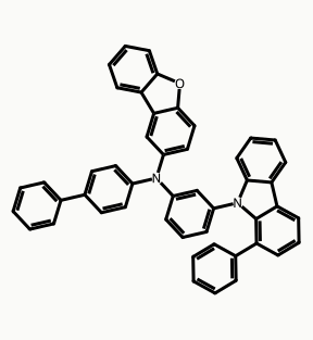 c1ccc(-c2ccc(N(c3cccc(-n4c5ccccc5c5cccc(-c6ccccc6)c54)c3)c3ccc4oc5ccccc5c4c3)cc2)cc1